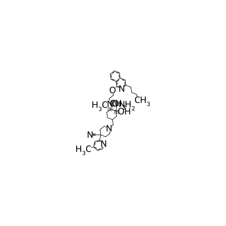 CCCCc1cc2ccccc2c(OCC[N+](C)(C)[C@H]2CCC(CN3CCC(C#N)(c4cc(C)ccn4)CC3)C[C@@]2(O)C(N)=O)n1